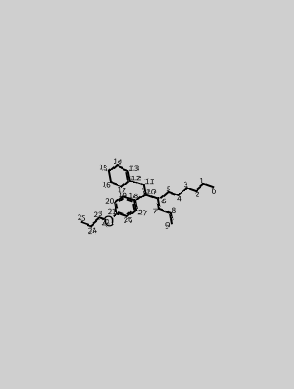 CCCCCCC(CCC)C(CC1=CCCCC1)c1ccc(OCCC)cc1